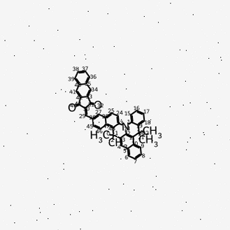 CC1(C)c2cc3ccccc3c3c2N(c2ccccc2C3(C)C)c2ccc3cc(C=C4C(=O)c5cc6ccccc6cc5C4=O)ccc3c21